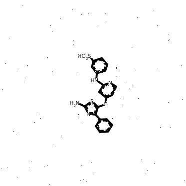 Nc1nc(-c2ccccc2)c(Oc2ccnc(Nc3cccc(S(=O)(=O)O)c3)c2)s1